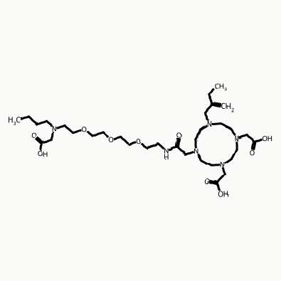 C=C(CC)CN1CCN(CC(=O)O)CCN(CC(=O)O)CCN(CC(=O)NCCOCCOCCOCCN(CCCC)CC(=O)O)CC1